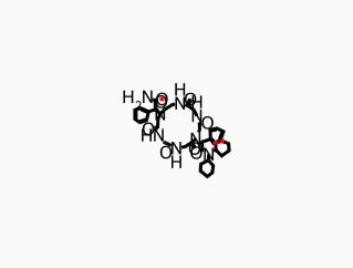 NC(=O)C(c1ccccc1)N1CC(=O)NCC(=O)NCC(=O)N(C(C(=O)N(C2CCCCC2)C2CCCCC2)c2ccccc2)CC(=O)NCC(=O)NCC1=O